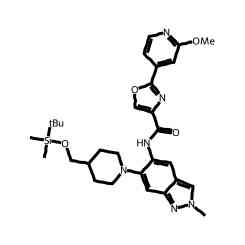 COc1cc(-c2nc(C(=O)Nc3cc4cn(C)nc4cc3N3CCC(CO[Si](C)(C)C(C)(C)C)CC3)co2)ccn1